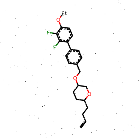 C=CCCC1CCC(OCc2ccc(-c3ccc(OCC)c(F)c3F)cc2)CO1